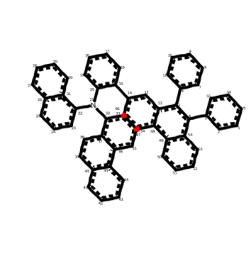 c1ccc(-c2c(-c3ccccc3)c3cc(-c4ccccc4N(c4cccc5ccccc45)c4cccc5c4ccc4ccccc45)ccc3c3ccccc23)cc1